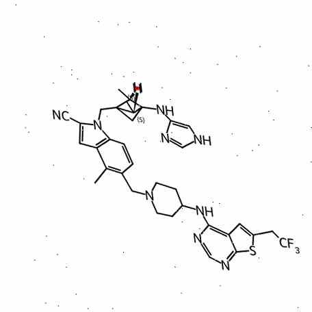 Cc1c(CN2CCC(Nc3ncnc4sc(CC(F)(F)F)cc34)CC2)ccc2c1cc(C#N)n2CC12CC(Nc3c[nH]cn3)([C@H]1C)[C@H]2C